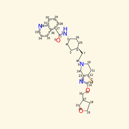 O=C(N[C@H]1CC[C@H](CCN2CCc3sc(OCC4CCOC4)nc3C2)CC1)c1cccc2ncccc12